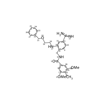 COc1cc(C(=O)NCc2ccc(C(=N)N)cc2NCCOCc2ccccc2)cc(OC)c1C